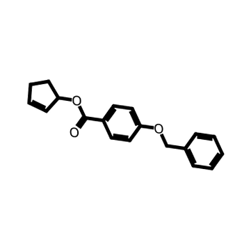 O=C(OC1C=CCC1)c1ccc(OCc2ccccc2)cc1